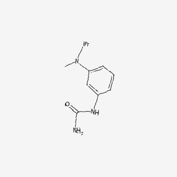 CC(C)N(C)c1cccc(NC(N)=O)c1